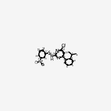 CC(C)c1ccccc1-c1cc(Cl)nc(NSc2cccc([N+](=O)[O-])c2)n1